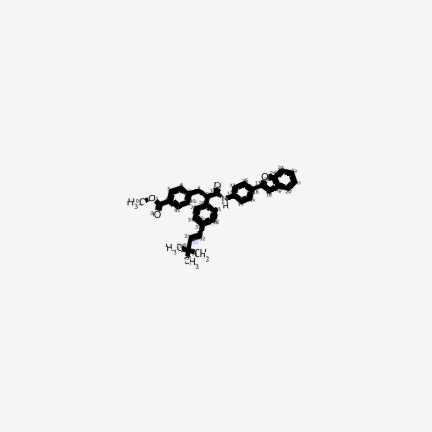 COC(=O)c1ccc(CC(C(=O)Nc2ccc(-c3cc4ccccc4o3)cc2)c2ccc(/C=C/C(C)(C)C)cc2)cc1